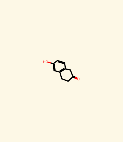 O=C1CCc2cc(O)ccc2C1